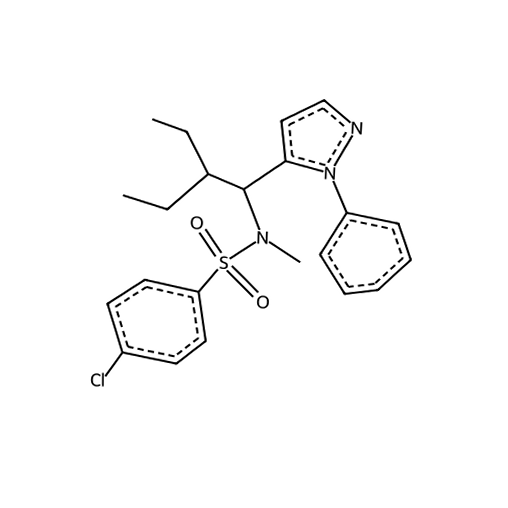 CCC(CC)C(c1ccnn1-c1ccccc1)N(C)S(=O)(=O)c1ccc(Cl)cc1